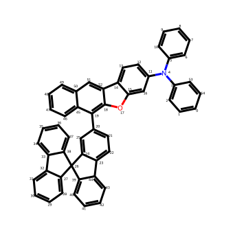 c1ccc(N(c2ccccc2)c2ccc3c(c2)oc2c(-c4ccc5c(c4)C4(c6ccccc6-c6ccccc64)c4ccccc4-5)c4ccccc4cc23)cc1